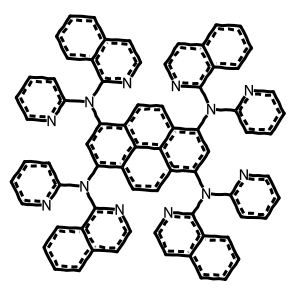 c1ccc(N(c2nccc3ccccc23)c2cc(N(c3ccccn3)c3nccc4ccccc34)c3ccc4c(N(c5ccccn5)c5nccc6ccccc56)cc(N(c5ccccn5)c5nccc6ccccc56)c5ccc2c3c54)nc1